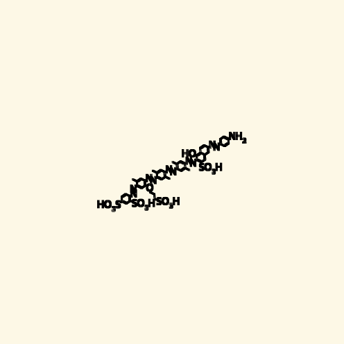 Cc1cc(N=Nc2cc(C)c(N=Nc3ccc(S(=O)(=O)O)cc3S(=O)(=O)O)cc2OCCCS(=O)(=O)O)c(C)cc1N=Nc1cc(C)c(N=Nc2c(S(=O)(=O)O)cc3cc(N=Nc4ccc(N)cc4)ccc3c2O)cc1C